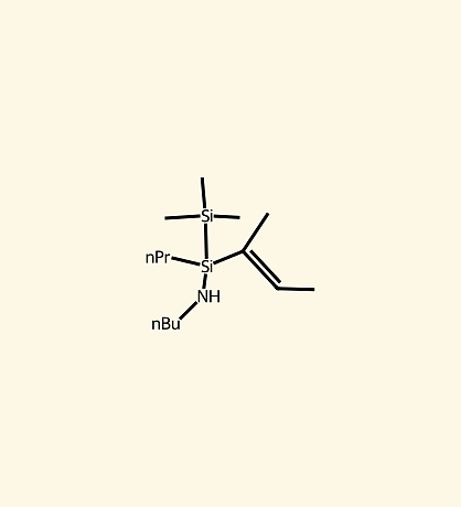 C/C=C(\C)[Si](CCC)(NCCCC)[Si](C)(C)C